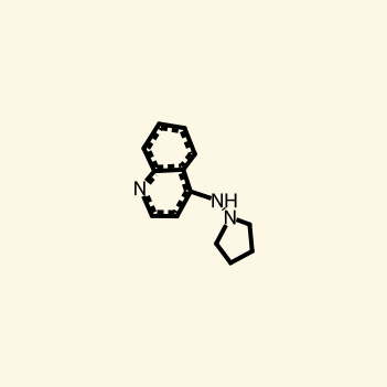 c1ccc2c(NN3CCCC3)ccnc2c1